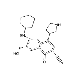 Cl.N#Cc1cn(C2CCNC2)c2cc(NC3CCCCC3)c(F)cc2c1=O